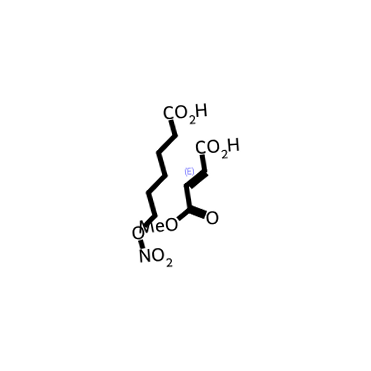 COC(=O)/C=C/C(=O)O.O=C(O)CCCCCO[N+](=O)[O-]